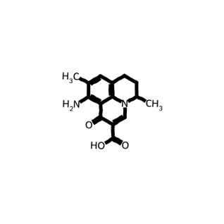 Cc1cc2c3c(c1N)c(=O)c(C(=O)O)cn3C(C)CC2